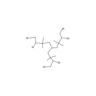 CCC(CC(C)C)C(C)(C)[CH2][Cr]([CH2]C(C)(C)C(CC)CC(C)C)[CH2]C(C)(C)C(CC)CC(C)C